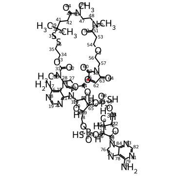 C[C@H]1[C@H]2O[P@](=O)(S)OC[C@H]3O[C@@H](n4cnc5c(N)ncnc54)[C@H](OC(=O)OCCN(C)C(=O)OCCSSC(C)(C)CCC(=O)N(C)CCN(C)C(=O)CCOCCN4C(=O)C=CC4=O)[C@@H]3O[P@](=O)(S)OC[C@H]1O[C@H]2n1cnc2c(N)ncnc21